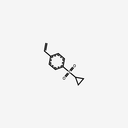 C=Cc1ccc(S(=O)(=O)C2CC2)cc1